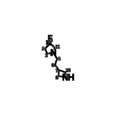 F[C@H]1CCN(CCC2CNC2)C1